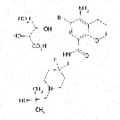 CC(C)(O)CN1CCC(F)(CNC(=O)c2cc(Br)c(N)c3c2OCCC3)CC1.O=C(O)C(O)C(O)C(=O)O